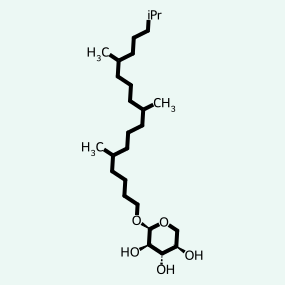 CC(C)CCCC(C)CCCC(C)CCCC(C)CCCCO[C@H]1OC[C@@H](O)[C@H](O)[C@H]1O